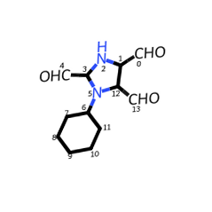 O=CC1NC(C=O)N(C2CCCCC2)C1C=O